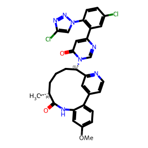 COc1ccc2c(c1)NC(=O)[C@H](C)CCC[C@H](n1cnc(-c3cc(Cl)ccc3-n3cc(Cl)nn3)cc1=O)c1cc-2ccn1